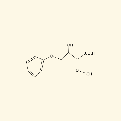 O=C(O)C(OO)C(O)COc1ccccc1